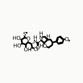 COc1ccc(C2CCO[C@@H]3[C@H](CN[C@@H]3C(=O)N[C@H]([C@H](C)Cl)[C@H]3OC(SC)[C@H](O)C(O)C3O)C2)cc1